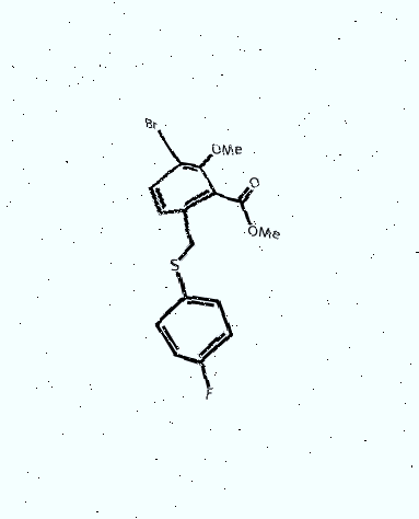 COC(=O)c1c(CSc2ccc(F)cc2)ccc(Br)c1OC